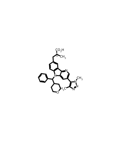 Cc1nnn(C)c1-c1cnc2c3cc(C[C@H](C)C(=O)O)ccc3n(C(c3ccccc3)C3CCOCC3)c2c1